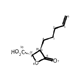 C=CCCC[C@H]1C(=O)O[C@@H]1C(=O)O